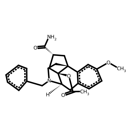 COc1ccc2c(c1)[C@]13CCN(Cc4ccccc4)[C@H](C2)[C@]1(OC(C)=O)C[C@H](C(N)=O)C3